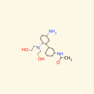 CC(=O)Nc1cccc(-c2cc(N)ccc2N(CCO)CCO)c1